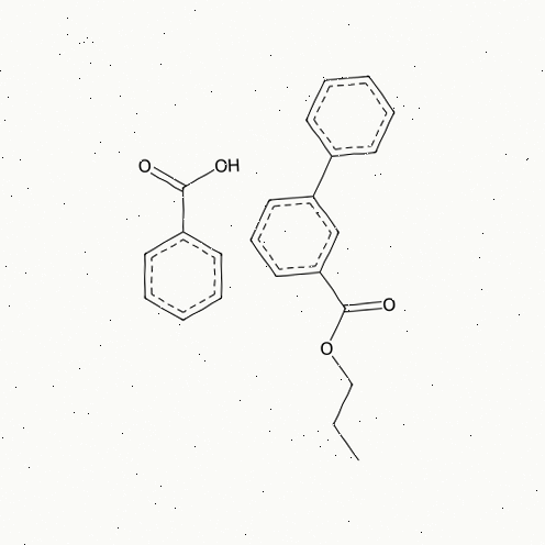 CCCOC(=O)c1cccc(-c2ccccc2)c1.O=C(O)c1ccccc1